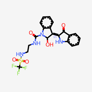 O=C1/C(=C2\c3ccccc3N(C(=O)NCCNS(=O)(=O)C(F)(F)F)C2O)Nc2ccccc21